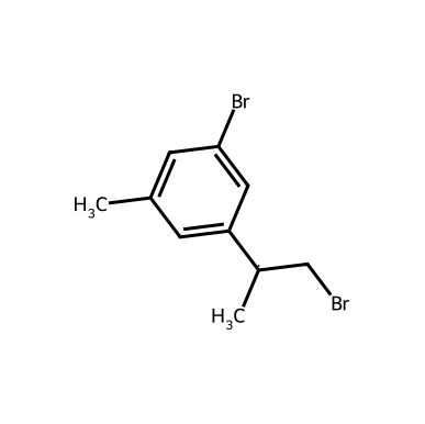 C[C](CBr)c1cc(C)cc(Br)c1